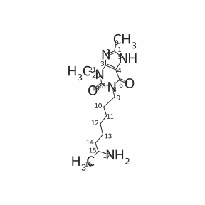 Cc1nc2c([nH]1)c(=O)n(CCCCCCC(C)N)c(=O)n2C